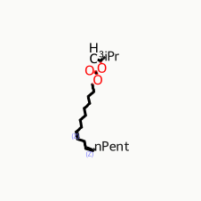 CCCCC/C=C\C/C=C\CCCCCCCCOC(=O)OC(C)C(C)C